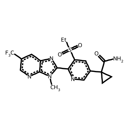 CCS(=O)(=O)c1cc(C2(C(N)=O)CC2)cnc1-c1nc2cc(C(F)(F)F)cnc2n1C